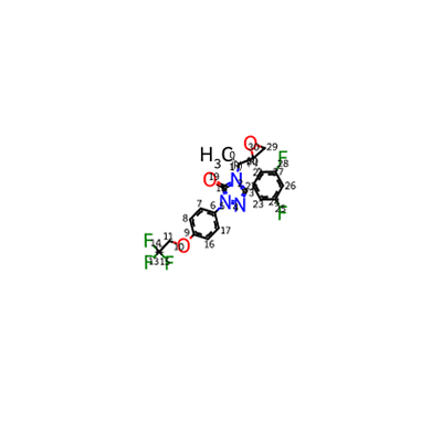 C[C@@H](n1cnn(-c2ccc(OCC(F)(F)F)cc2)c1=O)[C@]1(c2ccc(F)cc2F)CO1